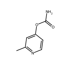 Cc1cc(OC(N)=O)ccn1